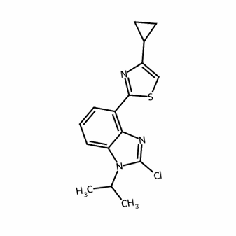 CC(C)n1c(Cl)nc2c(-c3nc(C4CC4)cs3)cccc21